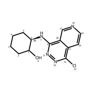 OC1CCCC[C@H]1Nc1nnc(Cl)c2ccncc12